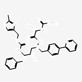 COC(=O)N[C@H](C(=O)NN(Cc1ccc(-c2ccccn2)cc1)C[C@H](O)[C@H](Cc1ccccc1)NC(=O)OCc1csc(C)n1)C(C)(C)C